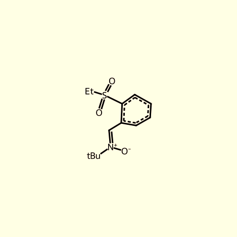 CCS(=O)(=O)c1ccccc1/C=[N+](\[O-])C(C)(C)C